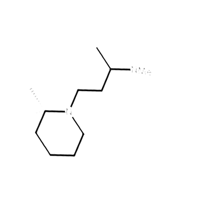 CNC(C)CCN1CCCC[C@@H]1C